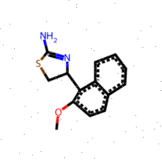 COc1ccc2ccccc2c1C1CSC(N)=N1